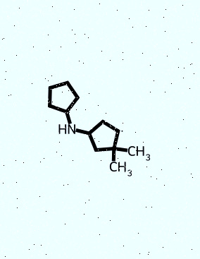 CC1(C)[CH]CC(NC2CCCC2)C1